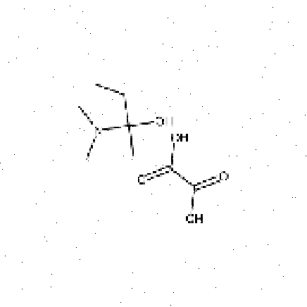 CCC(C)(O)N(C)C.O=C(O)C(=O)O